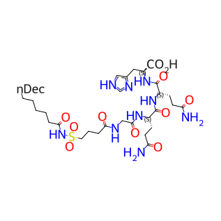 CCCCCCCCCCCCCCCC(=O)NS(=O)(=O)CCCC(=O)NCC(=O)N[C@@H](CCC(N)=O)C(=O)N[C@@H](CCC(N)=O)C(=O)N[C@@H](Cc1c[nH]cn1)C(=O)O